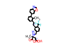 Cc1c(/C=C/c2cc(CNC(C)(/C=C/O)C(=O)O)ccc2C(F)(F)F)cccc1-c1ccc2ncoc2c1